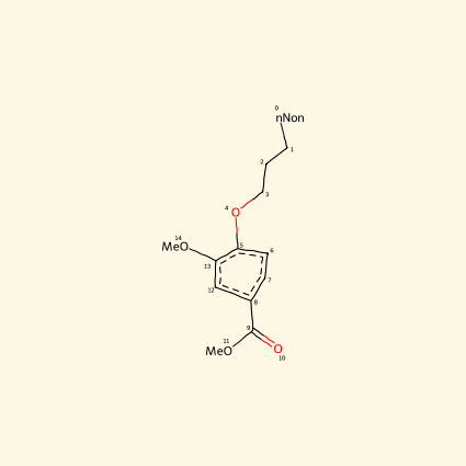 CCCCCCCCCCCCOc1ccc(C(=O)OC)cc1OC